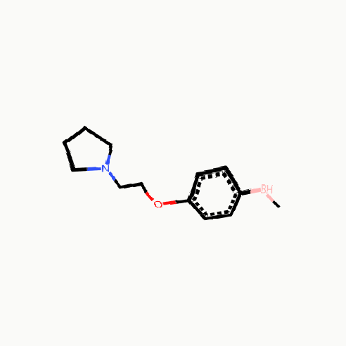 CBc1ccc(OCCN2CCCC2)cc1